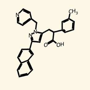 Cc1cccc(C(Cc2cc(-c3ccc4ccccc4c3)nn2Cc2ccncc2)C(=O)O)c1